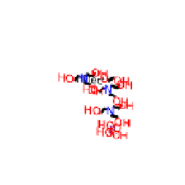 CCCCCCCCCCOCCO.O=P(O)(O)O.OCCN(CCO)CCO.OCCN(CCO)CCO.OCCN(CCO)CCO